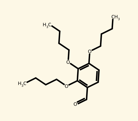 CCCCOc1ccc(C=O)c(OCCCC)c1OCCCC